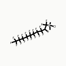 C[Si](C)(Cl)C(F)(F)C(F)C(F)(F)C(F)(F)C(F)(F)C(F)(F)C(F)(F)C(F)(F)C(F)(F)C(F)(F)F